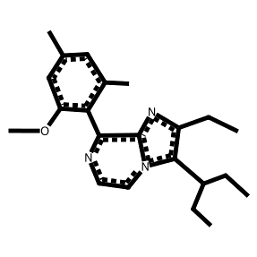 CCc1nc2c(-c3c(C)cc(C)cc3OC)nccn2c1C(CC)CC